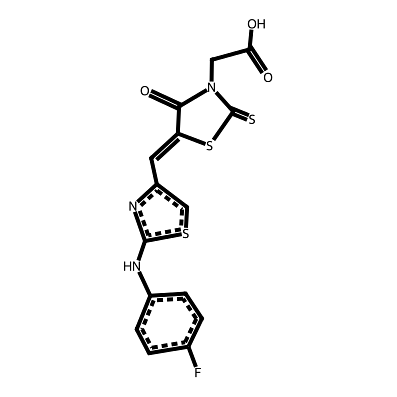 O=C(O)CN1C(=O)C(=Cc2csc(Nc3ccc(F)cc3)n2)SC1=S